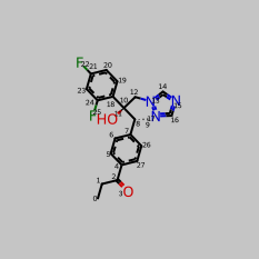 CCC(=O)c1ccc([C@@H](C)[C@@](O)(Cn2cncn2)c2ccc(F)cc2F)cc1